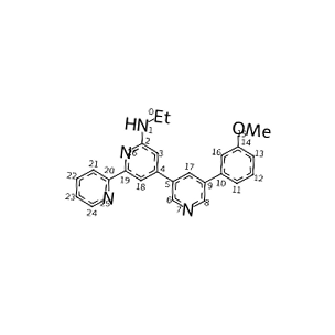 CCNc1cc(-c2cncc(-c3cccc(OC)c3)c2)cc(-c2ccccn2)n1